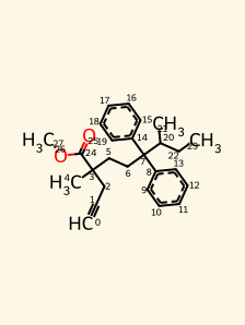 C#CCC(C)(CCC(c1ccccc1)(c1ccccc1)C(C)CC)C(=O)OC